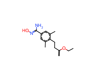 C=C(CCc1c(C)cc(/C(N)=N/O)cc1C)OCC